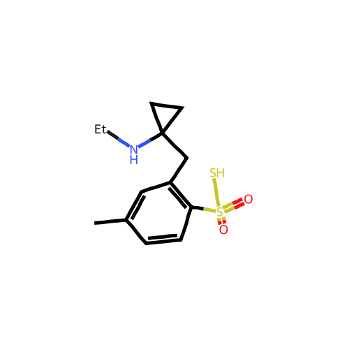 CCNC1(Cc2cc(C)ccc2S(=O)(=O)S)CC1